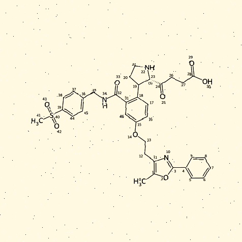 Cc1oc(-c2ccccc2)nc1CCOc1ccc(C2CCN[C@@H]2C(=O)CCC(=O)O)c(C(=O)NCc2ccc(S(C)(=O)=O)cc2)c1